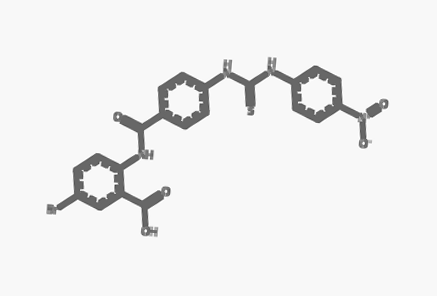 O=C(Nc1ccc(Br)cc1C(=O)O)c1ccc(NC(=S)Nc2ccc([N+](=O)[O-])cc2)cc1